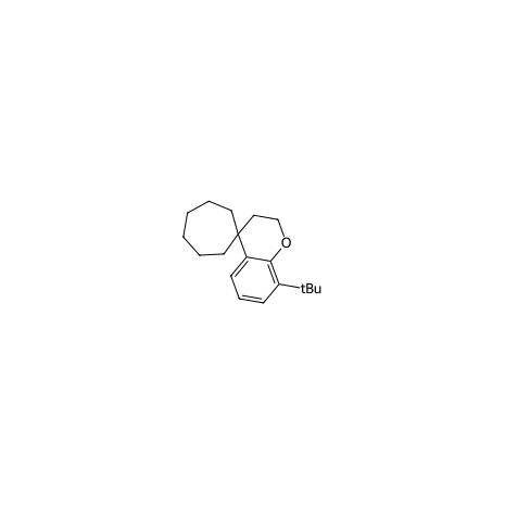 CC(C)(C)c1cccc2c1OCCC21CCCCCC1